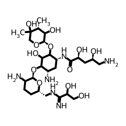 C[C@@H]1C(O)[C@@H](OC2C(O)C(O[C@H]3O[C@H](CNC(=N)C(O)CO)CCC3N)[C@@H](N)C[C@H]2NC(=O)[C@@H](O)C[C@@H](O)CN)OCC1(C)O